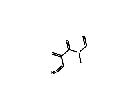 C=CN(C)C(=O)C(=C)C=N